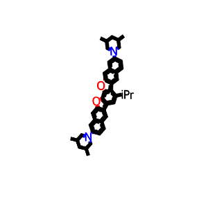 CC1CC(C)CN(c2ccc3cc4c(cc3c2)oc2c4cc(C(C)C)c3c4cc5ccc(N6CC(C)CC(C)C6)cc5cc4oc23)C1